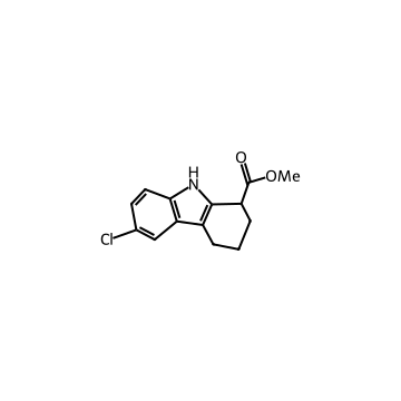 COC(=O)C1CCCc2c1[nH]c1ccc(Cl)cc21